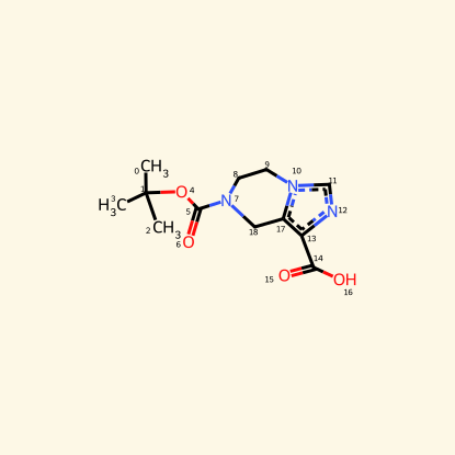 CC(C)(C)OC(=O)N1CCn2cnc(C(=O)O)c2C1